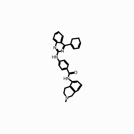 CN1CCc2c(cccc2NC(=O)c2ccc(Nc3nc(C4=CC=CCC4)c4ccccc4n3)cc2)C1